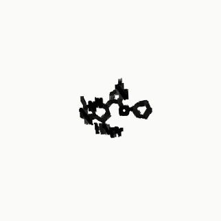 Cc1nnc2c(NC(C)C)cc(-c3cn(C)nc3Oc3ccccc3)nn12